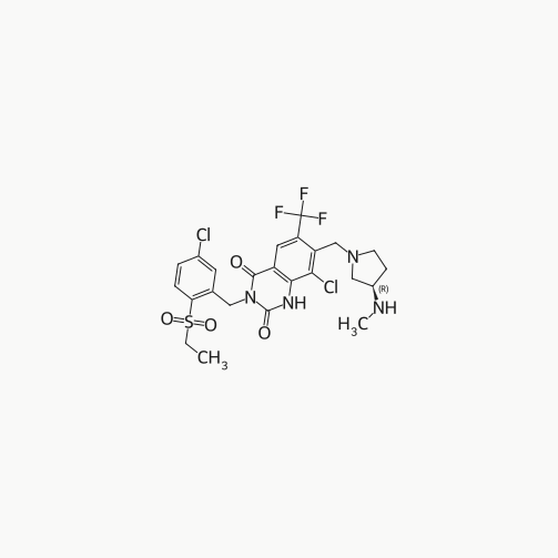 CCS(=O)(=O)c1ccc(Cl)cc1Cn1c(=O)[nH]c2c(Cl)c(CN3CC[C@@H](NC)C3)c(C(F)(F)F)cc2c1=O